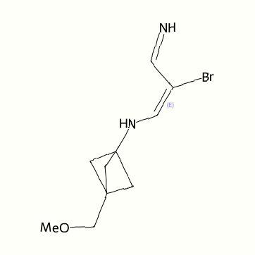 COCC12CC(N/C=C(/Br)C=N)(C1)C2